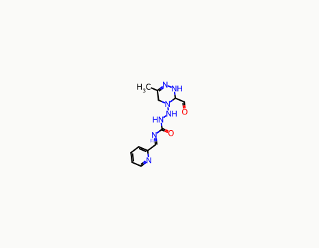 CC1=NNC(C=O)N(NNC(=O)/N=C/c2ccccn2)C1